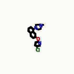 CN1CCN(c2cccc3ccc(Oc4ccc(Cl)cn4)cc23)CC1